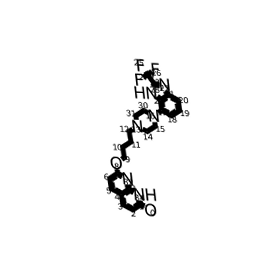 O=c1ccc2ccc(OCCCCN3CCN(c4cccc5nc(C(F)(F)F)[nH]c45)CC3)nc2[nH]1